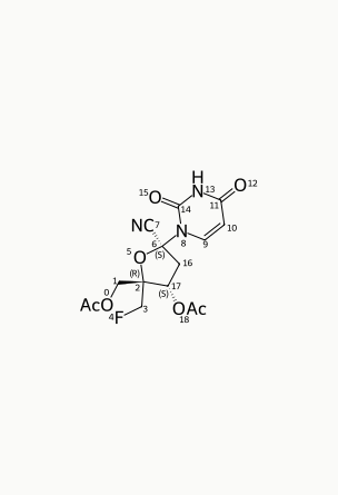 CC(=O)OC[C@@]1(CF)O[C@@](C#N)(n2ccc(=O)[nH]c2=O)C[C@@H]1OC(C)=O